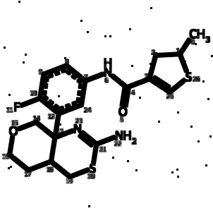 CC1CC(C(=O)Nc2ccc(F)c(C34COCCC3CSC(N)=N4)c2)=CS1